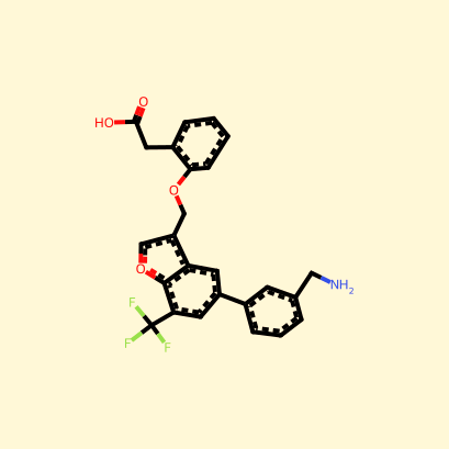 NCc1cccc(-c2cc(C(F)(F)F)c3occ(COc4ccccc4CC(=O)O)c3c2)c1